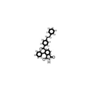 O=C1NC(=O)c2c1ccc(C(=O)c1ccc(CCc3ccccc3)cc1)c2-c1ccccc1